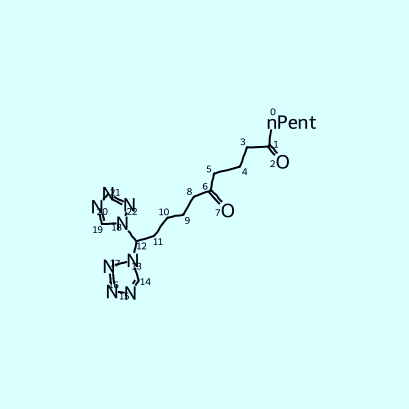 CCCCCC(=O)CCCC(=O)CCCCC(n1cnnn1)n1cnnn1